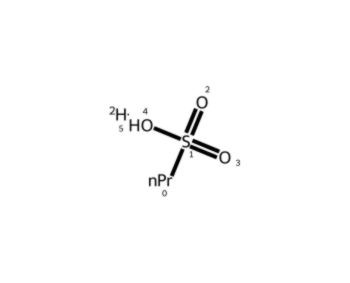 CCCS(=O)(=O)O.[2H]